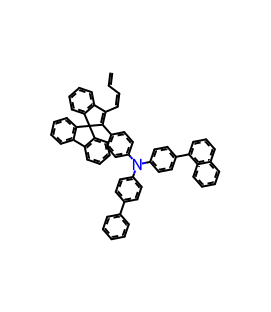 C=C/C=C\C1=C(c2ccc(N(c3ccc(-c4ccccc4)cc3)c3ccc(-c4cccc5ccccc45)cc3)cc2)C2(c3ccccc31)c1ccccc1-c1ccccc12